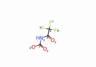 [O]C(=O)NC(=O)C(F)(F)F